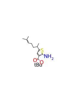 CC(C)=CCCC(C)c1cc(C(=O)OC(C)(C)C)c(N)s1